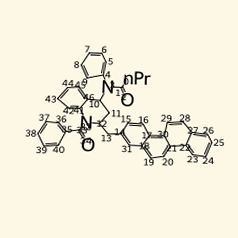 CCCC(=O)N(c1ccccc1)C1CC(Cc2ccc3c(ccc4c5ccccc5ccc34)c2)N(C(=O)c2ccccc2)c2ccccc21